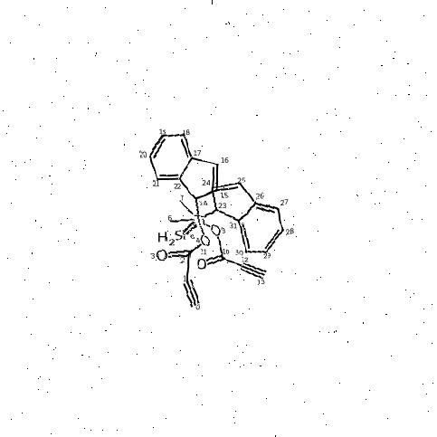 C#CC(=O)[O][Ti]([CH3])([CH3])(=[SiH2])([O]C(=O)C#C)([CH]1C=Cc2ccccc21)[CH]1C=Cc2ccccc21